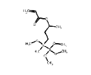 C=CC(=O)OC(C)CC[Si](C)(OC)[Si](OC)(OC)OC